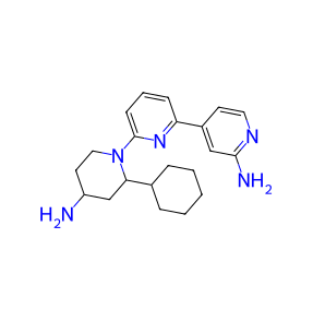 Nc1cc(-c2cccc(N3CCC(N)CC3C3CCCCC3)n2)ccn1